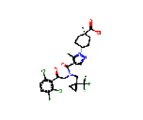 Cc1c(C(=O)N(CC(=O)c2c(Cl)ccc(F)c2Cl)CC2(C(F)(F)F)CC2)cnn1[C@H]1CC[C@](C)(C(=O)O)CC1